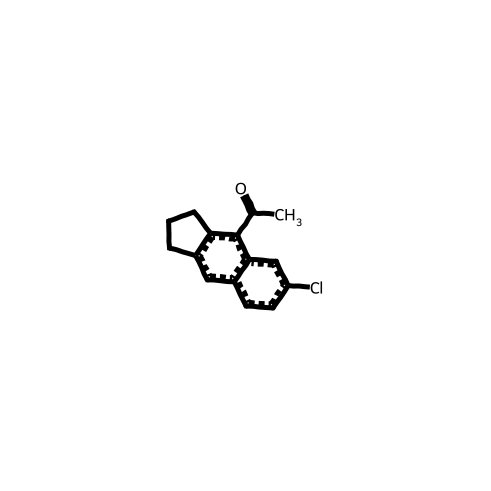 CC(=O)c1c2c(cc3ccc(Cl)cc13)CCC2